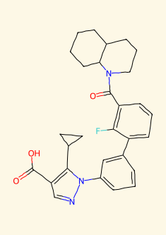 O=C(O)c1cnn(-c2cccc(-c3cccc(C(=O)N4CCCC5CCCCC54)c3F)c2)c1C1CC1